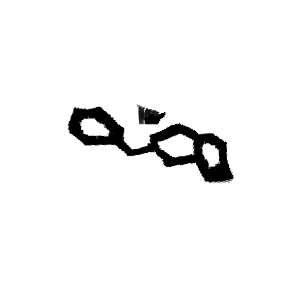 Br.C1=CN(Cc2ccccc2)Cc2ccccc21